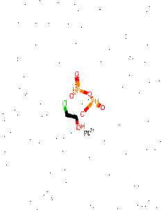 O=[PH]([O-])O[PH](=O)[O-].OCCCl.[Pt+2]